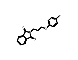 [CH]c1ccc(OCCCN2C(=O)c3ccccc3C2=O)cc1